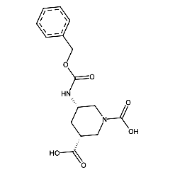 O=C(N[C@H]1C[C@@H](C(=O)O)CN(C(=O)O)C1)OCc1ccccc1